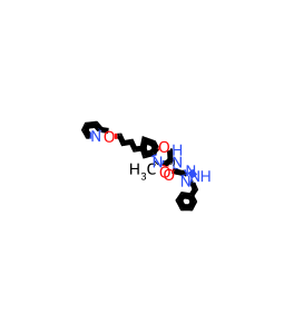 CN1C(=O)[C@@H](NC(=O)c2n[nH]c(Cc3ccccc3)n2)COc2ccc(CCCCOCc3ccccn3)cc21